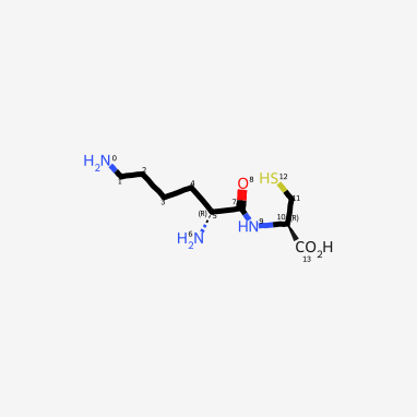 NCCCC[C@@H](N)C(=O)N[C@@H](CS)C(=O)O